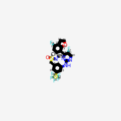 CS(=O)(Cc1cc(Nc2ncc(F)c(-c3ccc(F)c4ccoc34)n2)cc(S(F)(F)(F)(F)F)c1)=NC#N